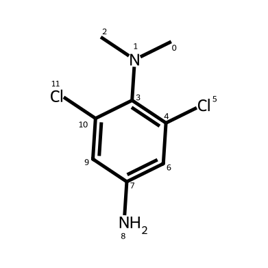 CN(C)c1c(Cl)cc(N)cc1Cl